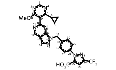 COc1ncnc(C2CC2)c1-c1ncc2cnn(Cc3ccc(-n4nc(C(F)(F)F)cc4C(=O)O)cc3)c2n1